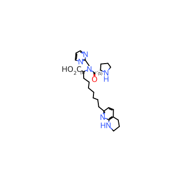 O=C(O)[C@H](CCCCCCCc1ccc2c(n1)NCCC2)N(Cc1ncccn1)C(=O)[C@@H]1CCCN1